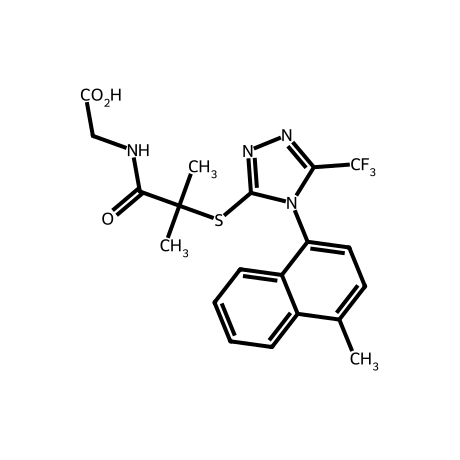 Cc1ccc(-n2c(SC(C)(C)C(=O)NCC(=O)O)nnc2C(F)(F)F)c2ccccc12